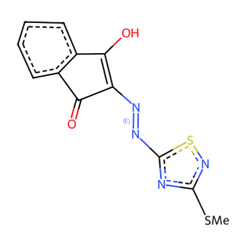 CSc1nsc(/N=N/C2=C(O)c3ccccc3C2=O)n1